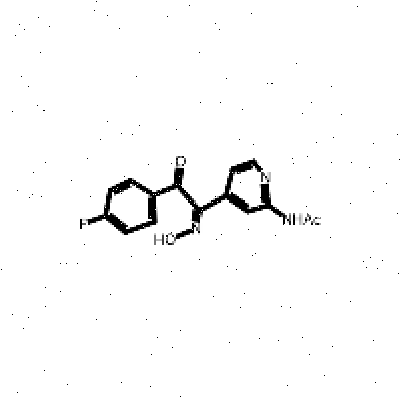 CC(=O)Nc1cc(C(=NO)C(=O)c2ccc(F)cc2)ccn1